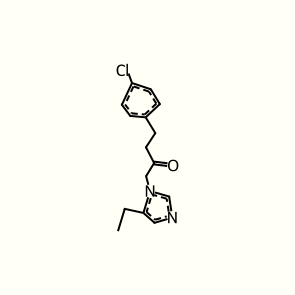 CCc1cncn1CC(=O)CCc1ccc(Cl)cc1